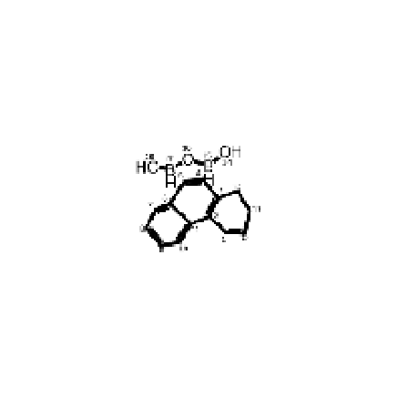 C1=Cc2c(ccc3ccccc23)CC1.OBOBO